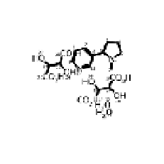 CN1CCCC1c1cccnc1.O.O.O=C(O)C(O)C(O)C(=O)O.O=C(O)C(O)C(O)C(=O)O